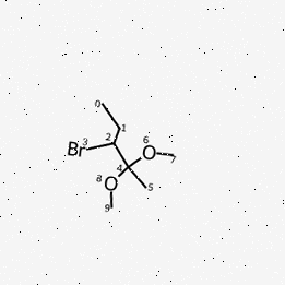 CCC(Br)C(C)(OC)OC